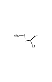 CCC(SSC(C)(C)C)C(C)C